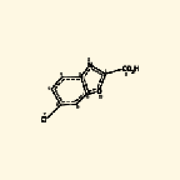 O=C(O)c1nc2ccc(Cl)cc2o1